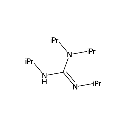 CC(C)N=C(NC(C)C)N(C(C)C)C(C)C